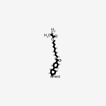 C=C(C)C(=O)OCCCCCCCCCOC(=O)C1CCC(C2CCC(CCCCC)CC2)CC1